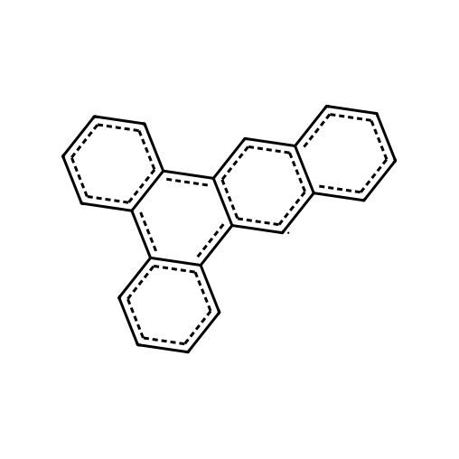 [c]1c2ccccc2cc2c1c1ccccc1c1ccccc21